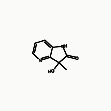 CC1(O)C(=O)Nc2cccnc21